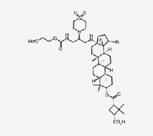 COCCOC(=O)NCC(CN[C@]12CC[C@@H](C(C)C)[C@@H]1[C@H]1CC[C@@H]3[C@@]4(C)CC[C@H](OC(=O)[C@H]5C[C@@H](C(=O)O)C5(C)C)C(C)(C)[C@@H]4CC[C@@]3(C)[C@]1(C)CC2)N1CCS(=O)(=O)CC1